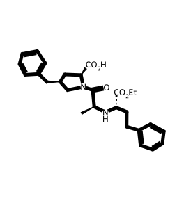 CCOC(=O)[C@H](CCc1ccccc1)N[C@@H](C)C(=O)N1C[C@@H](Cc2ccccc2)C[C@H]1C(=O)O